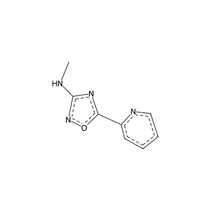 CNc1noc(-c2ccccn2)n1